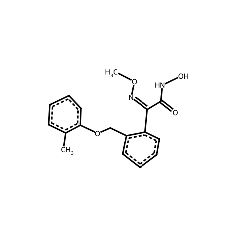 CON=C(C(=O)NO)c1ccccc1COc1ccccc1C